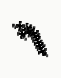 O=C(N(F)C(F)(F)C(F)(F)C(F)(F)C(F)(F)C(F)(F)C(F)(F)C(F)(F)C(F)(F)F)C(F)(F)[Si](OC(F)(F)C(F)(F)F)(OC(F)(F)C(F)(F)F)OC(F)(F)C(F)(F)F